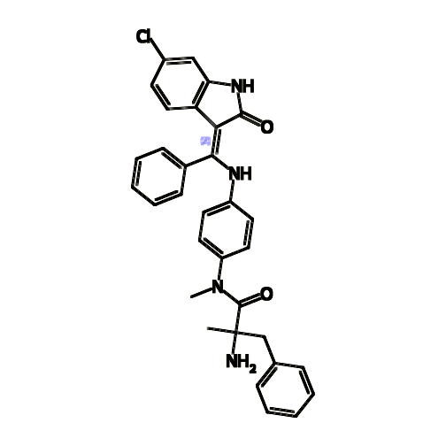 CN(C(=O)C(C)(N)Cc1ccccc1)c1ccc(N/C(=C2\C(=O)Nc3cc(Cl)ccc32)c2ccccc2)cc1